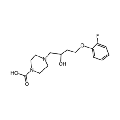 O=C(O)N1CCN(CC(O)CCOc2ccccc2F)CC1